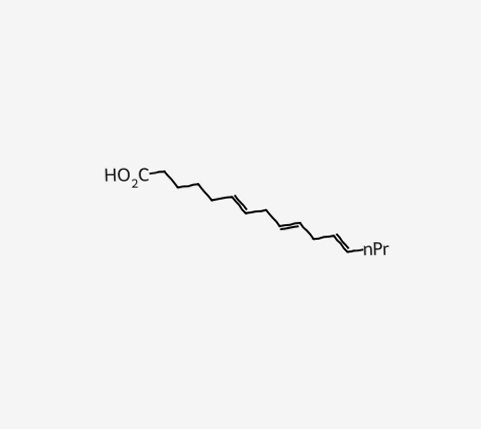 CCC/C=C/C/C=C/C/C=C/CCCCC(=O)O